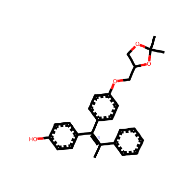 C/C(=C(\c1ccc(O)cc1)c1ccc(OCC2COC(C)(C)O2)cc1)c1ccccc1